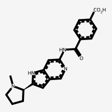 CN1CCC[C@@H]1c1cc2cnc(NC(=O)c3ccc(C(=O)O)cc3)cc2[nH]1